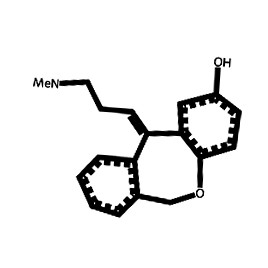 CNCC/C=C1\c2ccccc2COc2ccc(O)cc21